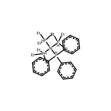 CC[PH](CC)(CC)[Ni]([PH](CC)(CC)CC)([PH](CC)(CC)CC)[PH](c1ccccc1)(c1ccccc1)c1ccccc1